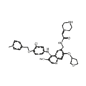 Cc1ccc(COc2ccc(Nc3c(C#N)cnc4cc(OC5CCOC5)c(CNC(=O)C=C5CCNCC5)cc34)cc2Cl)cc1